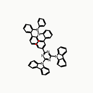 c1ccc(B2c3ccccc3-c3ccccc3N2c2ccccc2-c2cccc(-c3nc(-n4c5ccccc5c5ccccc54)nc(-n4c5ccccc5c5ccccc54)n3)c2)cc1